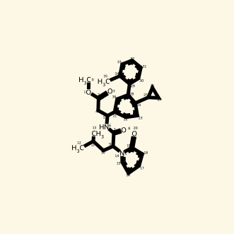 COC(=O)CC(NC(=O)C(CC(C)C)n1ccccc1=O)c1ccc(C2CC2)c(-c2ccccc2C)c1